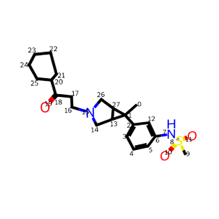 CC1(c2cccc(NS(C)(=O)=O)c2)C2CN(CCC(=O)C3CCCCC3)CC21